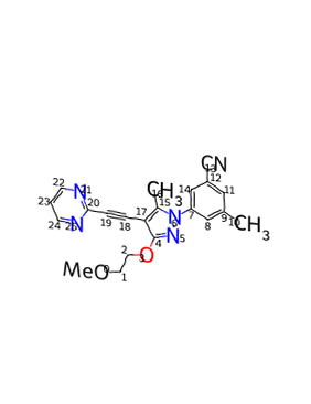 COCCOc1nn(-c2cc(C)cc(C#N)c2)c(C)c1C#Cc1ncccn1